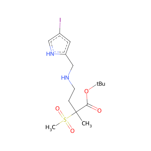 CC(C)(C)OC(=O)C(C)(CCNCc1cc(I)c[nH]1)S(C)(=O)=O